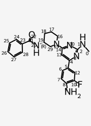 CNc1nc(-c2ccc(N)c(F)c2)cc(N2CCC[C@@H](NC(=O)c3ccccc3)C2)n1